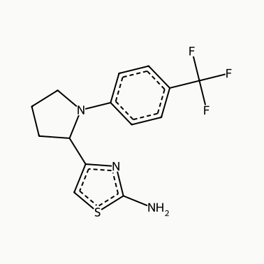 Nc1nc(C2CCCN2c2ccc(C(F)(F)F)cc2)cs1